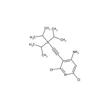 CC(C)[Si](C#Cc1c(N)cc(Cl)nc1Cl)(C(C)C)C(C)C